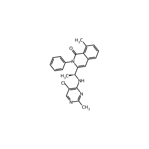 Cc1ncc(Cl)c(N[C@@H](C)c2cc3cccc(C)c3c(=O)n2-c2ccccc2)n1